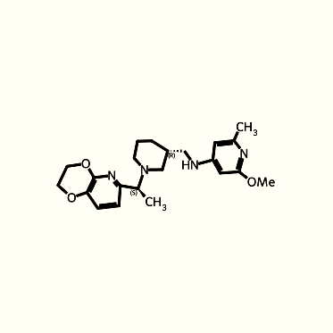 COc1cc(NC[C@H]2CCCN([C@@H](C)c3ccc4c(n3)OCCO4)C2)cc(C)n1